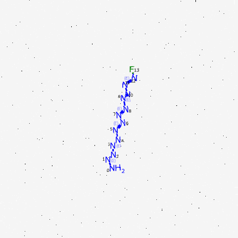 N/N=N/N=N/N=N/N=N/N=N/N=N/F